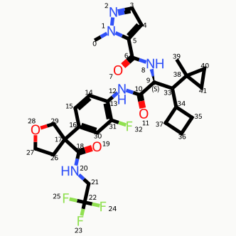 Cn1nccc1C(=O)N[C@H](C(=O)Nc1ccc(C2(C(=O)NCC(F)(F)F)CCOC2)cc1F)C(C1CCC1)C1(C)CC1